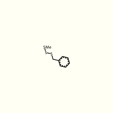 CSSSCc1ccccc1